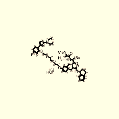 CNC(C)C(=O)NC(C(=O)N1Cc2cc(OCCOCCOCCOc3c(-c4csc(N5CCOCC5)n4)ccc(F)c3F)ccc2CC1C(=O)N[C@@H]1CCCc2ccccc21)C(C)(C)C.Cl.Cl